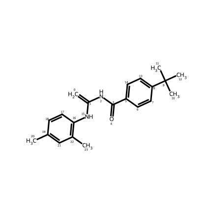 C=C(NC(=O)c1ccc(C(C)(C)C)cc1)Nc1ccc(C)cc1C